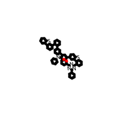 c1ccc(-c2nc(-c3ccccc3)nc(-c3cccc4sc5ccc(-c6ccc7c(c6)c6cc(-c8ccccc8-c8cccc9c8sc8ccccc89)ccc6n7-c6ccccc6)cc5c34)n2)cc1